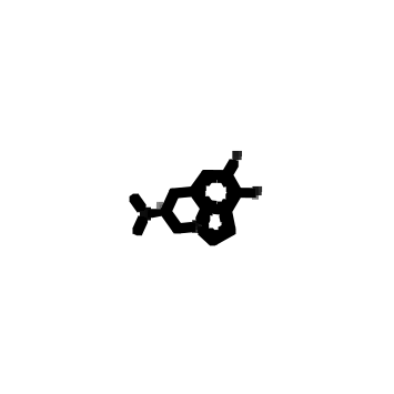 CN(C)[C@H]1Cc2cc(F)c(F)c3ccn(c23)C1